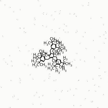 CC1=C(Cc2cc(C(C)(C)C)c(O)c(C(C)(C)C)c2)C(C)(O)C(Cc2cc(C(C)(C)C)c(O)c(C(C)(C)C)c2)C(C)=C1Cc1cc(C(C)(C)C)c(O)c(C(C)(C)C)c1